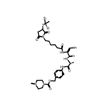 CCC(C)(CC)SC1CC(=O)N(CCCCCC(=O)N/C(=C/C(C)C)C(=O)N[C@@H](C)C(=O)Nc2ccc(COC(=O)N3CCN(C)CC3)cc2)C1=O